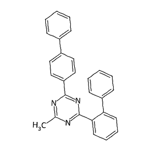 Cc1nc(-c2ccc(-c3ccccc3)cc2)nc(-c2ccccc2-c2ccccc2)n1